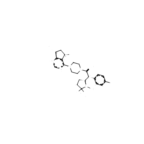 C[C@@H]1C[C@@H](O)c2ncnc(N3CCN(C(=O)[C@@H](c4ccc(Cl)cc4)[C@@H]4CCC(C)(C)N4C)CC3)c21